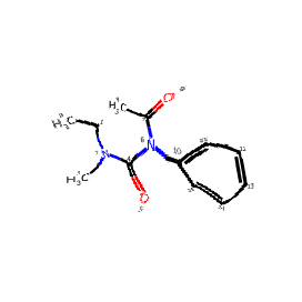 CCN(C)C(=O)N(C(C)=O)c1ccccc1